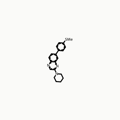 CSc1ccc(-c2ccc3ncc(N4CCCCC4)nc3c2)cc1